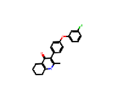 Cc1[nH]c2c(c(=O)c1-c1ccc(Oc3cccc(Cl)c3)cc1)CCCC2